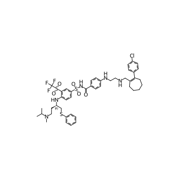 CC(C)N(C)CC[C@H](CSc1ccccc1)Nc1ccc(S(=O)(=O)NC(=O)c2ccc(NCCNCC3=C(c4ccc(Cl)cc4)CCCCC3)cc2)cc1S(=O)(=O)C(F)(F)F